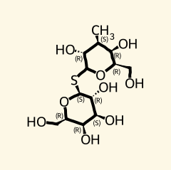 C[C@H]1[C@@H](O)[C@@H](CO)OC(S[C@@H]2O[C@H](CO)[C@H](O)[C@H](O)[C@H]2O)[C@@H]1O